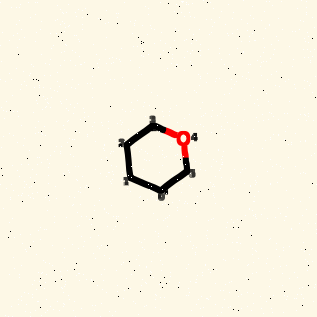 [C]1CC[C]OC1